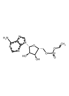 C=CO[PH](=O)OC[C@H]1O[C@@H](n2cnc3c(N)ncnc32)[C@H](O)[C@@H]1O